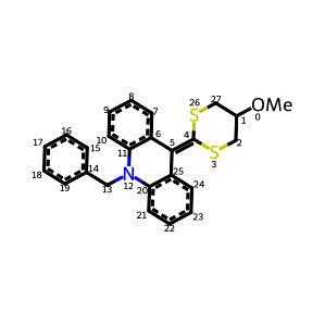 COC1CSC(=C2c3ccccc3N(Cc3ccccc3)c3ccccc32)SC1